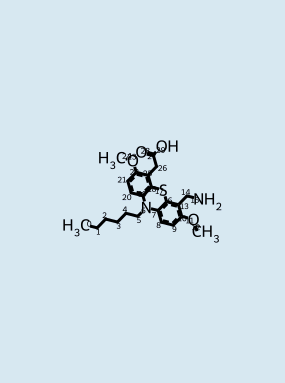 CCCCCCN1c2ccc(OC)c(CN)c2Sc2c1ccc(OC)c2CC(=O)O